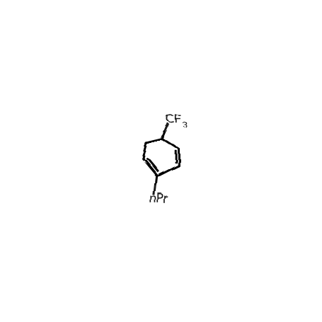 CCCC1=CCC(C(F)(F)F)C=C1